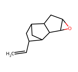 C=CC1CC2CC1C1C2CC2OC21